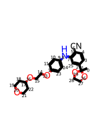 CC1(c2ccc(C#N)c(Nc3ccc(OCCOC4CCOCC4)cc3)c2)OCCO1